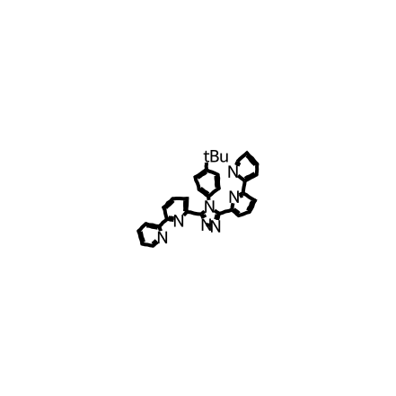 CC(C)(C)c1ccc(-n2c(-c3cccc(-c4ccccn4)n3)nnc2-c2cccc(-c3ccccn3)n2)cc1